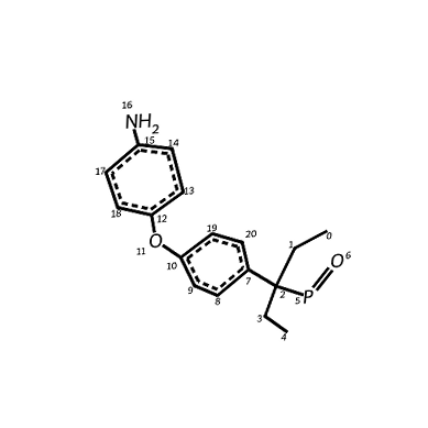 CCC(CC)(P=O)c1ccc(Oc2ccc(N)cc2)cc1